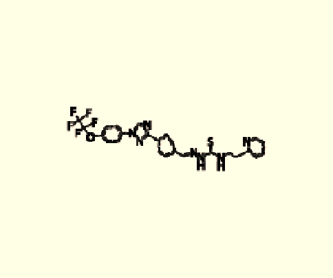 FC(F)(F)C(F)(F)Oc1ccc(-n2cnc(-c3ccc(/C=N/NC(=S)NCCc4ccccn4)cc3)n2)cc1